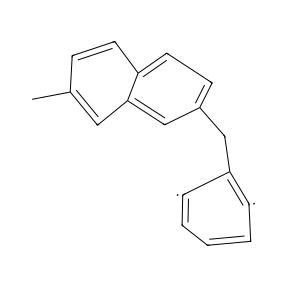 Cc1ccc2ccc(Cc3[c]ccc[c]3)cc2c1